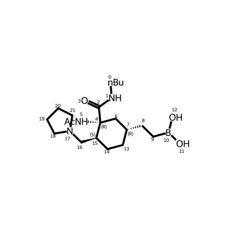 CCCCNC(=O)[C@@]1(NC(C)=O)C[C@H](CCB(O)O)CC[C@H]1CN1CCCC1